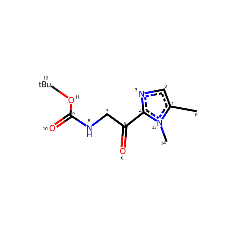 Cc1cnc(C(=O)CNC(=O)OC(C)(C)C)n1C